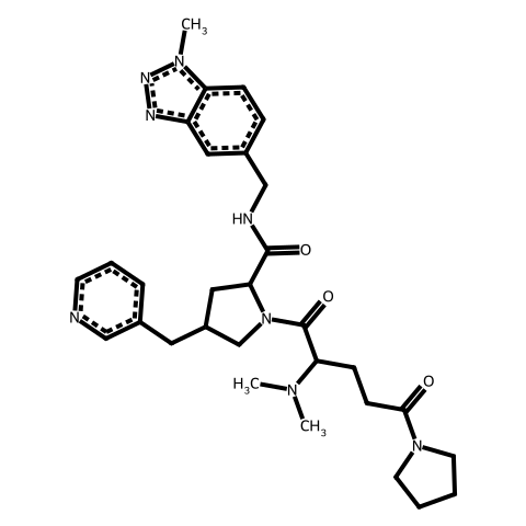 CN(C)C(CCC(=O)N1CCCC1)C(=O)N1CC(Cc2cccnc2)CC1C(=O)NCc1ccc2c(c1)nnn2C